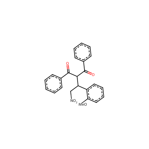 COc1ccccc1C(C[N+](=O)[O-])C(C(=O)c1ccccc1)C(=O)c1ccccc1